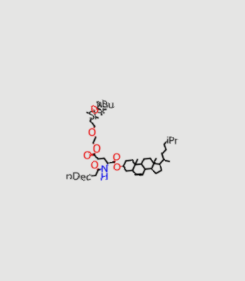 CCCCCCCCCCCC(=O)NC(CCC(=O)OCCOCC[Si](C)(C)O[Si](C)(C)CCCC)C(=O)OC1CCC2(C)C(C=CC3C2CCC2(C)C(C(C)CCCC(C)C)CCC32)C1